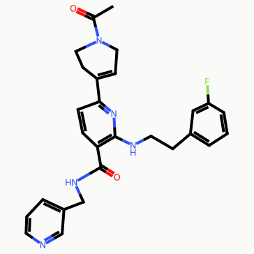 CC(=O)N1CC=C(c2ccc(C(=O)NCc3cccnc3)c(NCCc3cccc(F)c3)n2)CC1